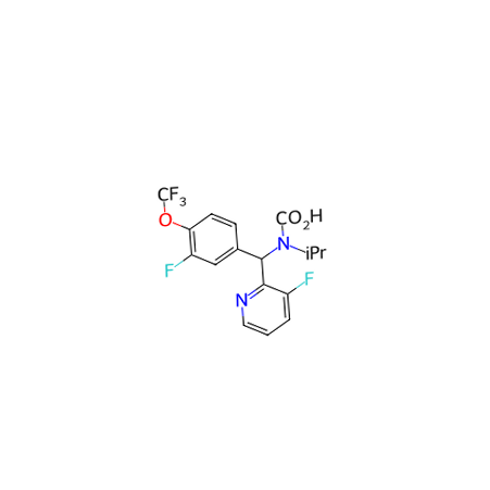 CC(C)N(C(=O)O)C(c1ccc(OC(F)(F)F)c(F)c1)c1ncccc1F